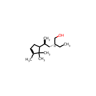 C=C(C[C@@H](CC)CO)C1CC=C(C)C1(C)C